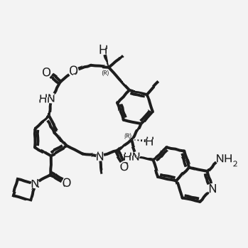 Cc1cc2ccc1[C@@H](C)COC(=O)Nc1ccc(C(=O)N3CCC3)c(c1)CN(C)C(=O)[C@@H]2Nc1ccc2c(N)nccc2c1